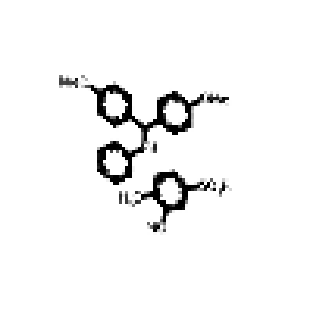 COc1ccc(C(Pc2ccccc2)c2ccc(OC)cc2)cc1.Cc1ccc(S(=O)(=O)O)cc1O